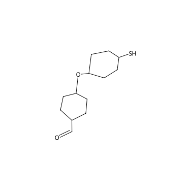 O=CC1CCC(OC2CCC(S)CC2)CC1